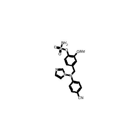 COc1cc(CN(c2ccc(C#N)cc2)n2ccnc2)ccc1OS(N)(=O)=O